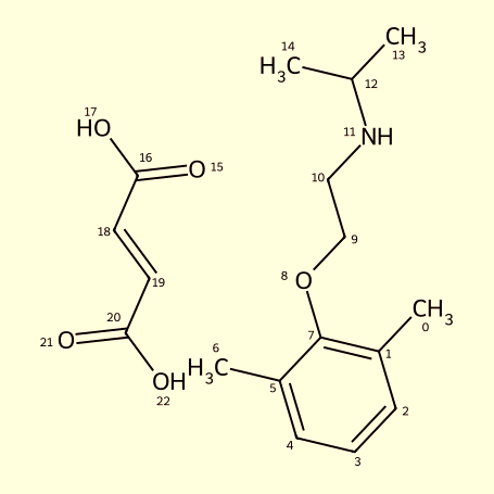 Cc1cccc(C)c1OCCNC(C)C.O=C(O)C=CC(=O)O